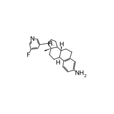 C[C@]12CC[C@@H]3c4ccc(N)cc4CC[C@H]3[C@@H]1CC=C2c1cncc(F)c1